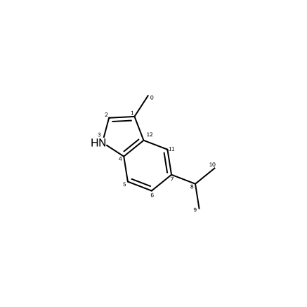 Cc1c[nH]c2ccc(C(C)C)cc12